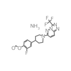 N.O=COc1ccc(C2CCN(c3ccc4nnc(C(F)(F)F)n4n3)CC2)cc1F